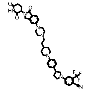 N#Cc1ccc(N2CCC(c3ccc(N4CCC(CCN5CCN(c6ccc7c(c6)CN(C6CCC(=O)NC6=O)C7=O)CC5)CC4)cc3)C2)cc1C(F)(F)F